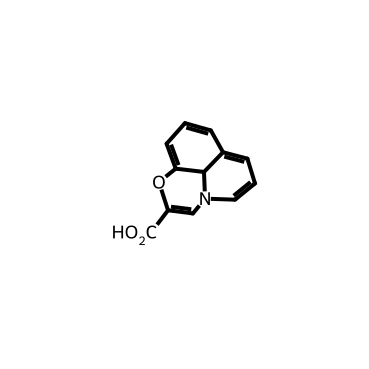 O=C(O)C1=CN2C=CC=C3C=CC=C(O1)C32